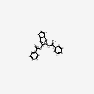 O=C(OC1C2OC(C3CC=CC32)C1OC(=O)c1ccccc1)c1ccccc1